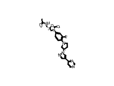 CC(=O)NC[C@H]1CN(c2ccc(N3CC[C@@H](n4cc(-c5ccncn5)cn4)C3)c(F)c2)C(=O)O1